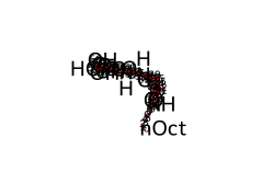 CCCCCCCC/C=C\CCCCCCCCNC(=O)O[C@@H]1CC[C@@]2(C)C(CCC3C4CCC([C@H](C)CCC(=O)NCCCCCC(=O)NCCOCCOCCO[C@H]5OC(CO)[C@@H](O)C(O)C5O)C4CCC32)C1